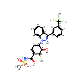 CS(=O)(=O)NC(=O)C1=CC=C(n2nc(-c3cccc(C(F)(F)F)c3)c3ccccc32)C(=O)C1F